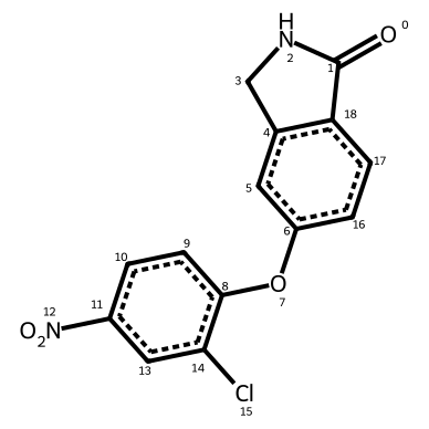 O=C1NCc2cc(Oc3ccc([N+](=O)[O-])cc3Cl)ccc21